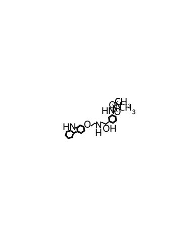 CN(C)S(=O)(=O)Nc1cccc(C(O)CNCCOc2ccc3c(c2)[nH]c2ccccc23)c1